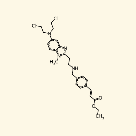 CCOC(=O)/C=C/c1ccc(CNCCc2nc3cc(N(CCCl)CCCl)ccc3n2C)cc1